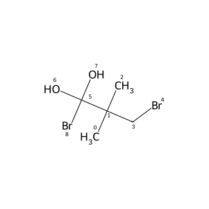 CC(C)(CBr)C(O)(O)Br